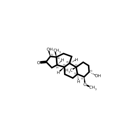 CO[C@H]1[C@H]2CC[C@H]3[C@@H](CC[C@@]4(C)[C@H](O)C(=O)C[C@H]34)[C@]2(C)CC[C@@H]1O